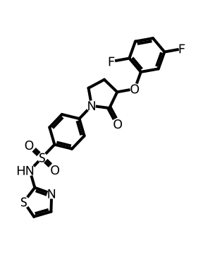 O=C1C(Oc2cc(F)ccc2F)CCN1c1ccc(S(=O)(=O)Nc2nccs2)cc1